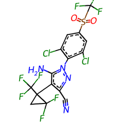 N#Cc1nn(-c2c(Cl)cc(S(=O)(=O)C(F)(F)F)cc2Cl)c(N)c1C1(C(F)(F)F)CC1(F)F